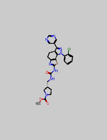 CC(C)(C)OC(=O)N1CC[C@@H](CNC(=O)Nc2nc3c(s2)-c2c(c(-c4cncnc4)nn2-c2ccccc2Cl)CC3)C1